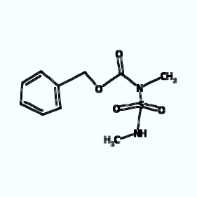 CNS(=O)(=O)N(C)C(=O)OCc1ccccc1